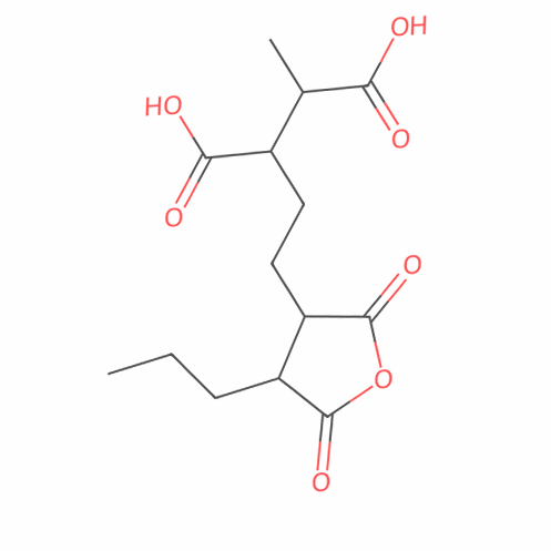 CCCC1C(=O)OC(=O)C1CCC(C(=O)O)C(C)C(=O)O